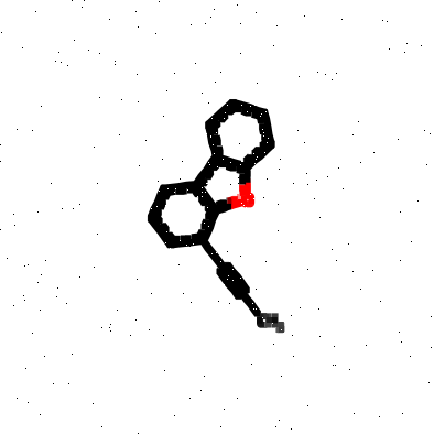 CC#Cc1cccc2c1oc1ccccc12